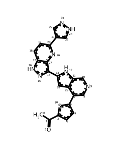 CC(=O)c1ccc(-c2cncc3[nH]c(-c4n[nH]c5ccc(-c6cn[nH]c6)nc45)cc23)s1